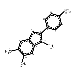 Cc1cc2nc(-c3ccc([N+](=O)[O-])cc3)n(C)c2cc1C